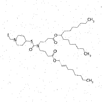 CCCCCCC=CCOC(=O)CCCN(CCCC(=O)OC(CCCCCCC)CCCCCCC)C(=O)SC1CCN(CI)CC1